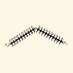 FC(F)(F)C(F)(F)C(F)(F)C(F)(F)C(F)(F)C(F)(F)C(F)(F)C(F)(F)C(F)(F)C(F)(F)C(F)(F)OC(F)(F)C(F)(F)C(F)(F)C(F)(F)C(F)(F)C(F)(F)C(F)(F)C(F)(F)C(F)(F)C(F)(F)C(F)(F)F